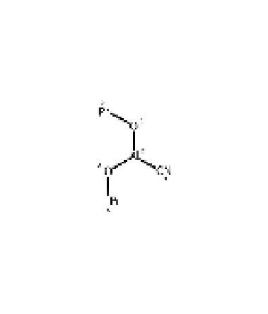 CC(C)[O][Al]([C]#N)[O]C(C)C